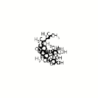 CC(C)=CCC[C@@H](C)[C@H]1CC[C@@]2(C(=O)O)C3=C(CC[C@]12C)[C@@]1(C)CC[C@H](O[C@@H]2OC[C@H](O)[C@H](O)[C@H]2O[C@@H]2O[C@H](CO)[C@H](O)[C@H](O)[C@H]2O)C(C)(C)[C@@H]1CC3